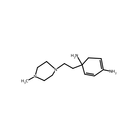 CN1CCN(CCC2(N)C=CC(N)=CC2)CC1